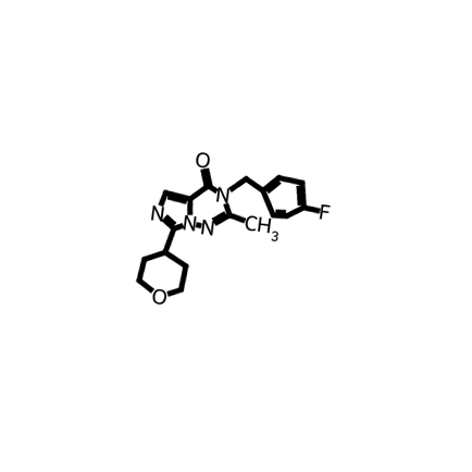 Cc1nn2c(C3CCOCC3)ncc2c(=O)n1Cc1ccc(F)cc1